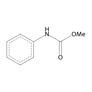 [CH2]OC(=O)Nc1ccccc1